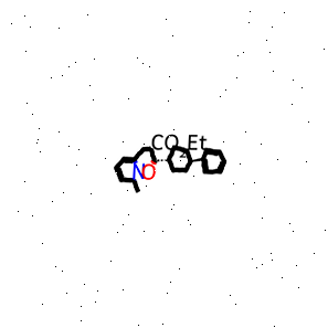 CCOC(=O)C(Cc1cccc(C)n1)C(=O)[C@H]1CC[C@H](c2ccccc2)CC1